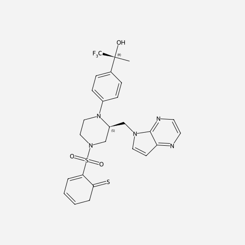 C[C@@](O)(c1ccc(N2CCN(S(=O)(=O)C3=CC=CCC3=S)C[C@@H]2Cn2ccc3nccnc32)cc1)C(F)(F)F